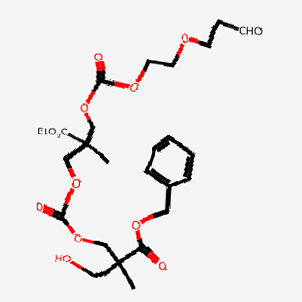 CCOC(=O)C(C)(COC(=O)OCCOCCC=O)COC(=O)OCC(C)(CO)C(=O)OCc1ccccc1